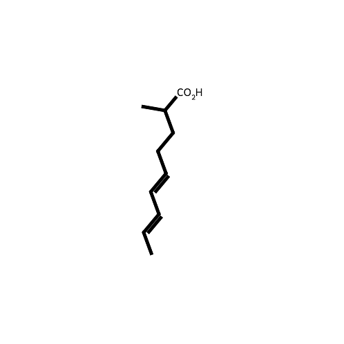 CC=CC=CCCC(C)C(=O)O